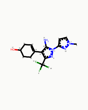 Cn1ccc(-n2nc(C(F)(F)F)c(C3=CCC(O)CC3)c2N)n1